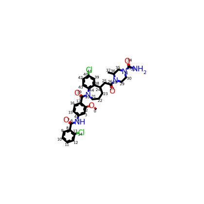 COc1cc(NC(=O)c2ccccc2Cl)ccc1C(=O)N1CCCC(CC(=O)N2CCN(C(N)=O)CC2C)c2cc(Cl)ccc21